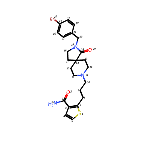 NC(=O)c1ccsc1[CH]CCN1CCC2(CC1)CCN(Cc1ccc(Br)cc1)C2=O